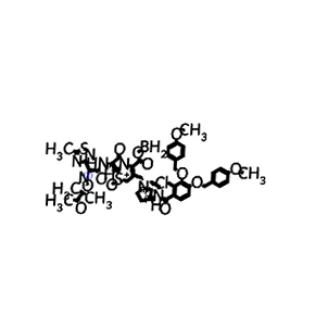 BOC(=O)C1=C(C[N@@+]23CC[C@@H](C2)N(C(=O)c2ccc(OCc4ccc(OC)cc4)c(OCc4ccc(OC)cc4)c2Cl)CC3)C[S+]([O-])[C@@H]2[C@H](NC(=O)/C(=N\OC(C)(C)C(C)=O)c3nsc(C)n3)C(=O)N12